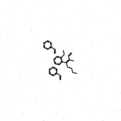 C=CC(C)=C(CCCC)c1ccccc1CC.C=Cc1ccccc1.C=Cc1ccccc1